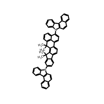 CC1(C)c2cc(-n3c4ccccc4c4c5ccccc5ccc43)ccc2-c2ccc3c(c21)C(C)(C)c1cccc2c(-n4c5ccccc5c5c6ccccc6ccc54)ccc-3c12